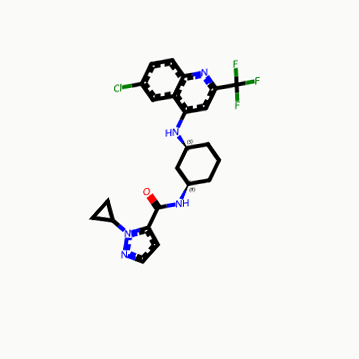 O=C(N[C@@H]1CCC[C@H](Nc2cc(C(F)(F)F)nc3ccc(Cl)cc23)C1)c1ccnn1C1CC1